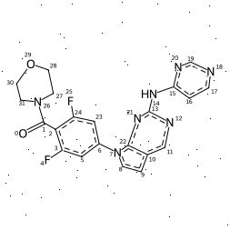 O=C(c1c(F)cc(-n2ccc3cnc(Nc4ccncn4)nc32)cc1F)N1CCOCC1